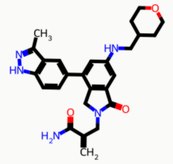 C=C(CN1Cc2c(cc(NCC3CCOCC3)cc2-c2ccc3[nH]nc(C)c3c2)C1=O)C(N)=O